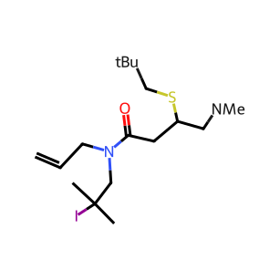 C=CCN(CC(C)(C)I)C(=O)CC(CNC)SCC(C)(C)C